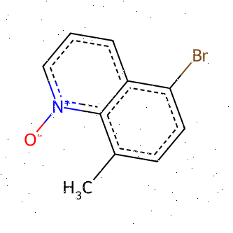 Cc1ccc(Br)c2ccc[n+]([O-])c12